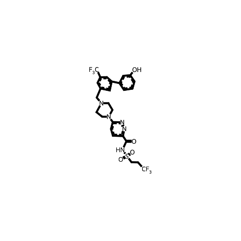 O=C(NS(=O)(=O)CCC(F)(F)F)c1ccc(N2CCN(Cc3cc(-c4cccc(O)c4)cc(C(F)(F)F)c3)CC2)nn1